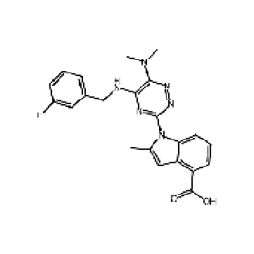 Cc1cc2c(C(=O)O)cccc2n1-c1nnc(N(C)C)c(NCc2cccc(F)c2)n1